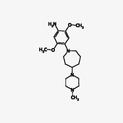 COc1cc(N2CCCC(N3CCN(C)CC3)CC2)c(OC)cc1N